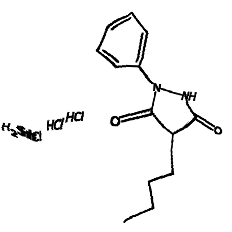 CCCCC1C(=O)NN(c2ccccc2)C1=O.Cl.Cl.Cl.[SnH2]